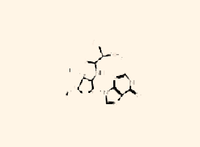 CCCC(N)C(O)NC1[C@@H](O)[C@@H](CO)O[C@H]1n1cnc2c(=O)[nH]cnc21